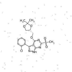 CC1(C)OC[C@@H](COc2nc(S(C)(=O)=O)nc3[nH]nc(-c4ccccc4Cl)c23)O1